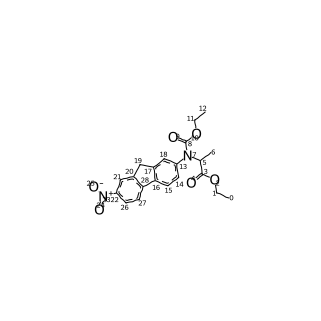 CCOC(=O)C(C)N(C(=O)OCC)c1ccc2c(c1)Cc1cc([N+](=O)[O-])ccc1-2